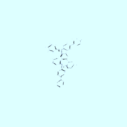 C1=CC(c2ccc3c(c2)c2cc(C4CC=Cc5c4n(-c4ccccc4)c4ccc(-c6ccccc6)cc54)ccc2n3-c2ccccc2)=CCC1